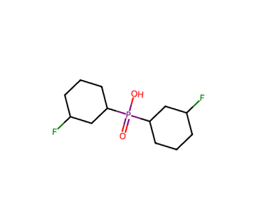 O=P(O)(C1CCCC(F)C1)C1CCCC(F)C1